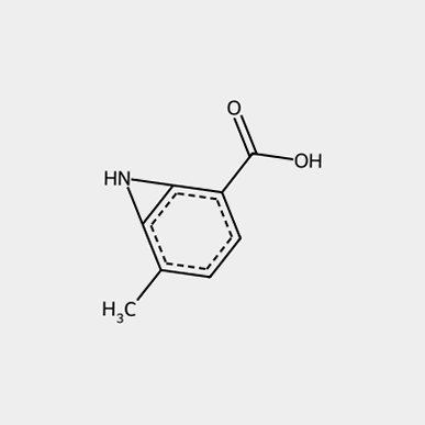 Cc1ccc(C(=O)O)c2c1N2